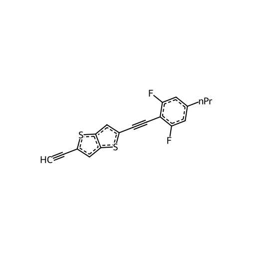 C#Cc1cc2sc(C#Cc3c(F)cc(CCC)cc3F)cc2s1